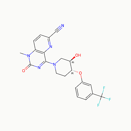 Cn1c(=O)nc(N2CC[C@@H](Oc3cccc(C(F)(F)F)c3)[C@H](O)C2)c2nc(C#N)ccc21